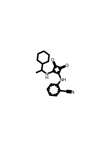 CC(Nc1c(Nc2ccccc2C#N)c(=O)c1=O)C1CCCCC1